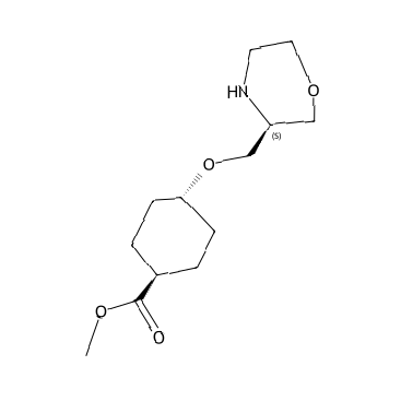 COC(=O)[C@H]1CC[C@H](OC[C@@H]2COCCN2)CC1